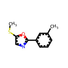 CSc1cnc(-c2cccc(C)c2)o1